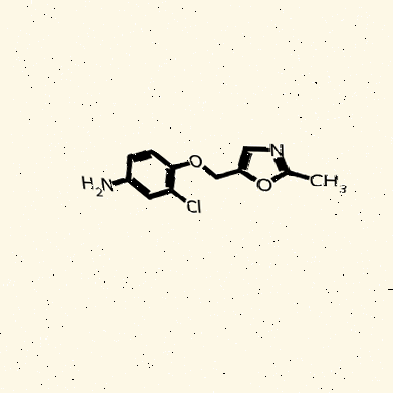 Cc1ncc(COc2ccc(N)cc2Cl)o1